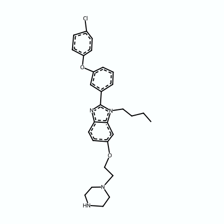 CCCCn1c(-c2cccc(Oc3ccc(Cl)cc3)c2)nc2ccc(OCCN3CCNCC3)cc21